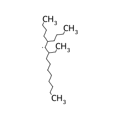 CCCCCCCCC([CH]C(CCCC)CCCC)CC